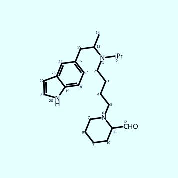 CC(C)N(CCCCN1CCCCC1C=O)C(C)Cc1ccc2[nH]ccc2c1